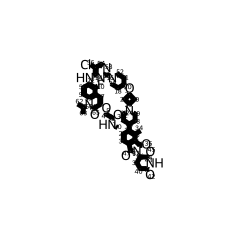 CNC(=O)COc1cc2c(F)c(Nc3nc(N4CCC(OC5CC(N6CCC(c7ccc8c(c7C)C(=O)N([C@@H]7CCC(=O)NC7=O)C8=O)CC6)C5)CC4)ncc3Cl)ccc2n(C(C)C)c1=O